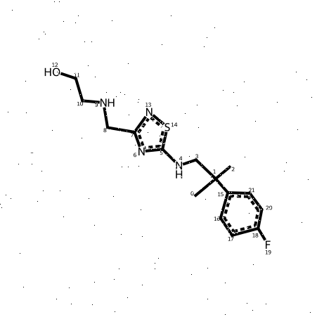 CC(C)(CNc1nc(CNCCO)ns1)c1ccc(F)cc1